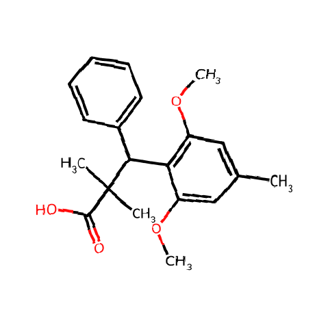 COc1cc(C)cc(OC)c1C(c1ccccc1)C(C)(C)C(=O)O